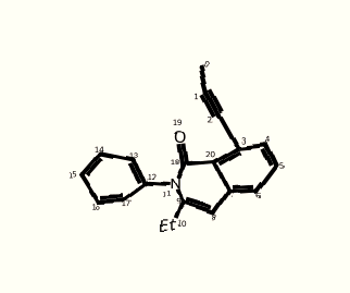 CC#Cc1cccc2cc(CC)n(-c3ccccc3)c(=O)c12